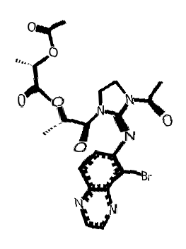 CC(=O)O[C@@H](C)C(=O)O[C@@H](C)C(=O)N1CCN(C(C)=O)/C1=N/c1ccc2nccnc2c1Br